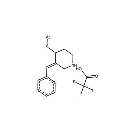 CC(=O)SC1CCNCC1=Cc1cnccn1.O=C(O)C(F)(F)F